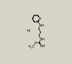 CSC(=N)NCCCNc1ccccn1.I